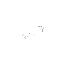 Cc1nn(C(C)COCCC(=O)N2CCN(c3ncc(Cl)cn3)CC2)c2cn[nH]c(=O)c12